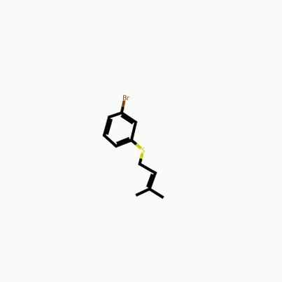 CC(C)=CCSc1cccc(Br)c1